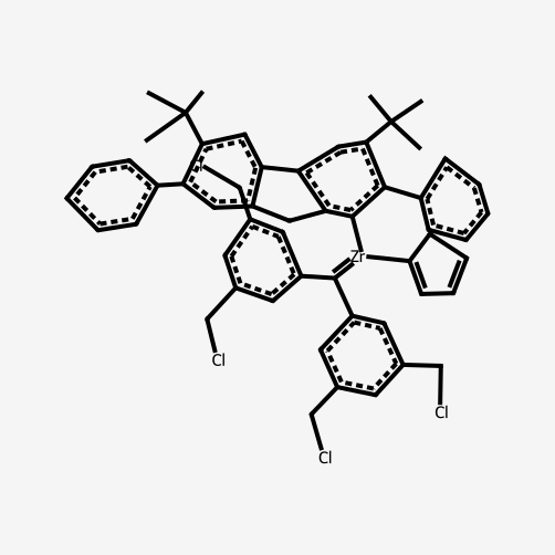 CC(C)(C)c1cc2c(cc1-c1ccccc1)Cc1c-2cc(C(C)(C)C)c(-c2ccccc2)[c]1[Zr]([C]1=CC=CC1)=[C](c1cc(CCl)cc(CCl)c1)c1cc(CCl)cc(CCl)c1